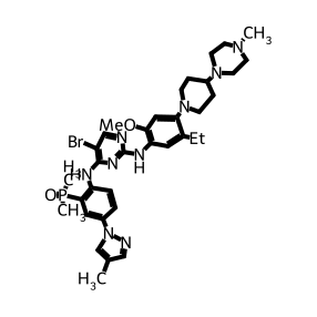 CCc1cc(Nc2ncc(Br)c(Nc3ccc(-n4cc(C)cn4)cc3P(C)(C)=O)n2)c(OC)cc1N1CCC(N2CCN(C)CC2)CC1